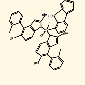 Cc1ccccc1-c1c(C(C)(C)C)ccc2c1C=C(C(C)(C)C)[CH]2[Zr]([Cl])([Cl])([c]1cccc2c1[SiH2]c1ccccc1-2)[CH]1C(C(C)(C)C)=Cc2c1ccc(C(C)(C)C)c2-c1ccccc1C